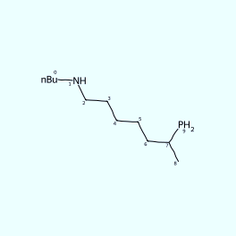 CCCCNCCCCCC(C)P